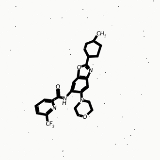 CC1CCC(c2nc3cc(N4CCOCC4)c(NC(=O)c4cccc(C(F)(F)F)n4)cc3o2)CC1